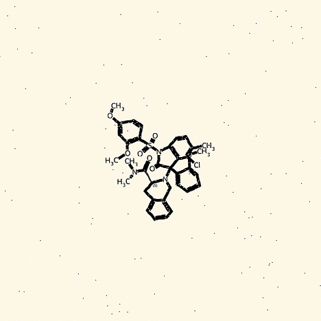 COc1ccc(S(=O)(=O)N2C(=O)C(c3ccccc3OC)(N3Cc4ccccc4C[C@H]3C(=O)N(C)C)c3c2ccc(C)c3Cl)c(OC)c1